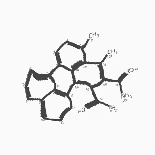 Cc1ccc2c3cccc4cccc(c5c(C(N)=O)c(C(N)=O)c(C)c1c25)c43